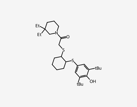 CCC1(CC)CCCN(C(=O)CSC2CCCCC2Sc2cc(C(C)(C)C)c(O)c(C(C)(C)C)c2)C1